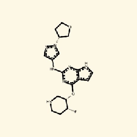 F[C@@H]1CCNC[C@@H]1Oc1nc(Nc2cnn([C@@H]3CCOC3)c2)nc2[nH]ccc12